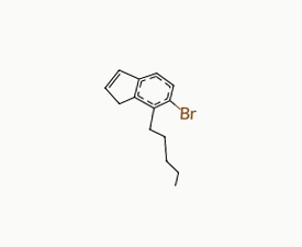 CCCCCc1c(Br)ccc2c1CC=C2